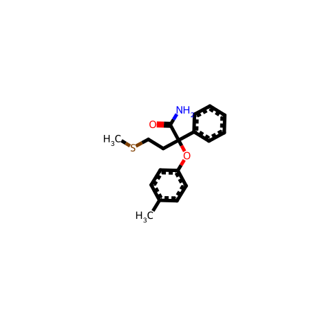 CSCCC(Oc1ccc(C)cc1)(C(N)=O)c1ccccc1